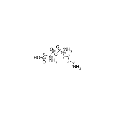 NCCCC[C@H](N)C(=O)OC(=O)[C@@H](N)CC(=O)O